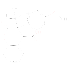 COc1ccc(C2(C(C)(C)C)C(=O)Oc3ccccc3C2C(=O)O)cc1